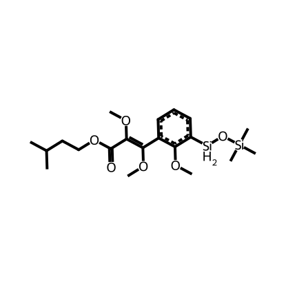 COC(C(=O)OCCC(C)C)=C(OC)c1cccc([SiH2]O[Si](C)(C)C)c1OC